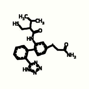 CC(C)C(CS)C(=O)Nc1cc([CH]CC(N)=O)ccc1-c1ccccc1-c1nnn[nH]1